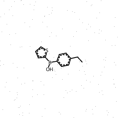 CCc1ccc(B(O)c2cccs2)cc1